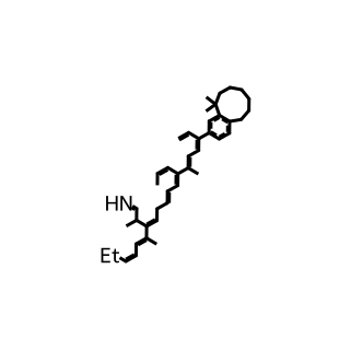 C=C/C(=C\C=C(/C)C(=C/C=C/C/C=C(/C(C)=C/C=C\CC)C(C)C=N)/C=C\C)c1ccc2c(c1)C(C)(C)CCCCCC2